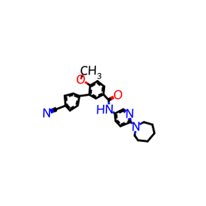 COc1ccc(C(=O)Nc2ccc(N3CCCCCC3)nc2)cc1-c1ccc(C#N)cc1